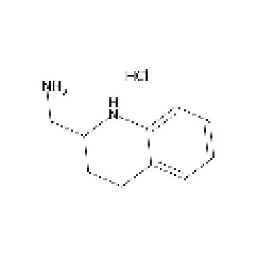 Cl.NCC1CCc2ccccc2N1